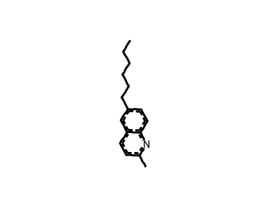 CCCCCCc1ccc2nc(C)ccc2c1